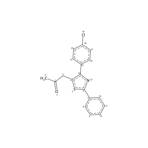 CC(=O)Cc1sc(-c2ccccc2)nc1-c1ccc(Cl)cc1